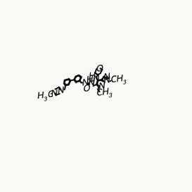 CCc1nc2c(cnn2CC)c(NC2CCOCC2)c1CNC(=O)NCc1cccc(-c2cccc(CN3CCN(C)CC3)c2)c1